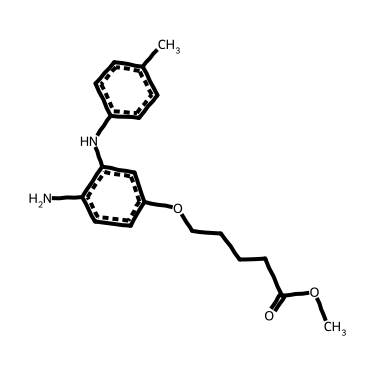 COC(=O)CCCCOc1ccc(N)c(Nc2ccc(C)cc2)c1